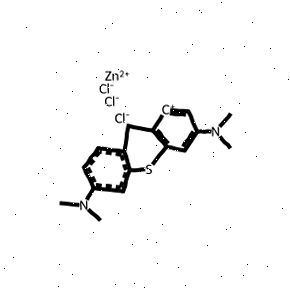 CN(C)C1=CC2=C([C+]=C1)Cc1ccc(N(C)C)cc1S2.[Cl-].[Cl-].[Cl-].[Zn+2]